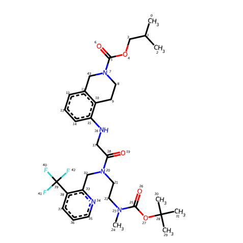 CC(C)COC(=O)N1CCc2c(cccc2NCC(=O)N(CCN(C)C(=O)OC(C)(C)C)Cc2ncccc2C(F)(F)F)C1